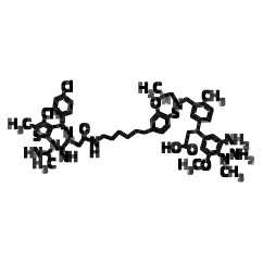 COc1cc(C(CC(=O)O)c2ccc(C)c(CN3C[C@@H](C)Oc4cc(CCCCCCNC(=O)C[C@@H]5N=C(c6ccc(Cl)cc6)c6c(sc(C)c6C)N(C(C)=N)C5=N)ccc4S3)c2)cc(N)c1N(C)N